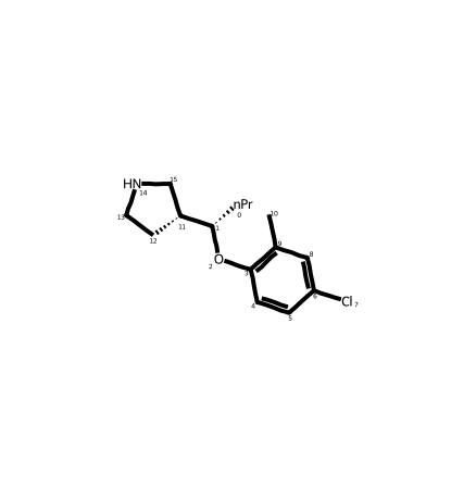 CCC[C@H](Oc1ccc(Cl)cc1C)[C@@H]1CCNC1